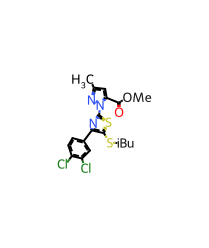 CCC(C)Sc1sc(-n2nc(C)cc2C(=O)OC)nc1-c1ccc(Cl)c(Cl)c1